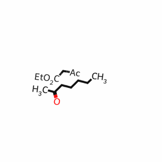 CCCCCC(C)=O.CCOC(=O)CC(C)=O